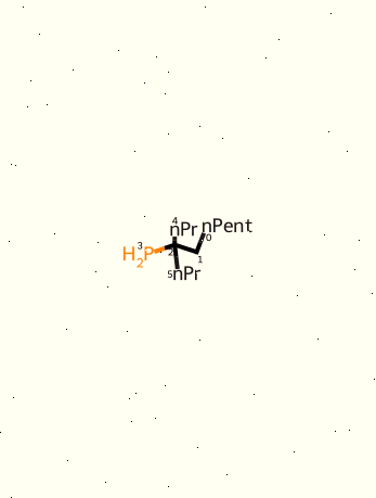 CCCCCCC(P)(CCC)CCC